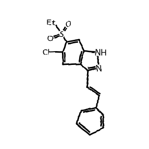 CCS(=O)(=O)c1cc2[nH]nc(/C=C/c3ccccc3)c2cc1Cl